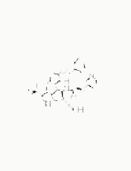 CCOc1cc2ncc(C#N)c(Nc3ccc(OCc4ccccc4)cc3)c2cc1NC(=O)C=Cc1cccnc1